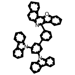 c1cc(-c2cc(-n3c4ccccc4c4ccccc43)cc(-n3c4ccccc4c4ccccc43)c2)cc(-c2nc3ccc4ccccc4c3c3oc4ccccc4c23)c1